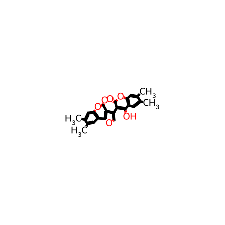 Cc1cc2oc(=O)c(C3COc4c3c(=O)oc3cc(C)c(C)cc43)c(O)c2cc1C